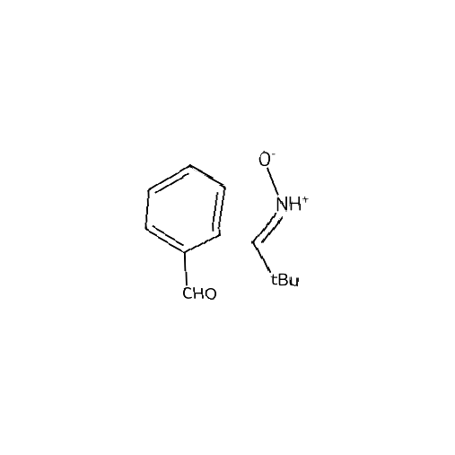 CC(C)(C)C=[NH+][O-].O=Cc1ccccc1